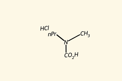 CCCN(C)C(=O)O.Cl